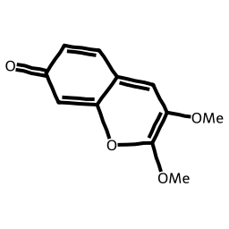 COc1cc2ccc(=O)cc-2oc1OC